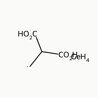 [CH2]C(C(=O)O)C(=O)O.[GeH4]